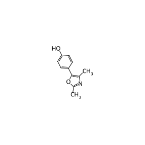 Cc1nc(C)c(-c2ccc(O)cc2)o1